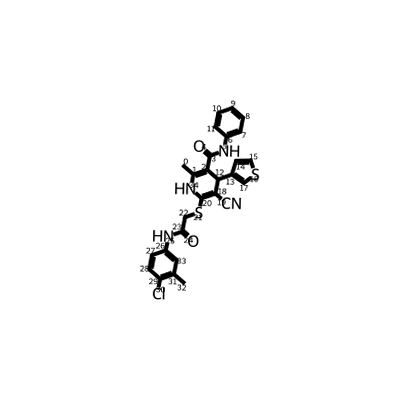 CC1=C(C(=O)Nc2ccccc2)C(c2ccsc2)C(C#N)=C(SCC(=O)Nc2ccc(Cl)c(C)c2)N1